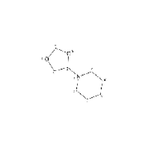 C1CCN(C2COCO2)CC1